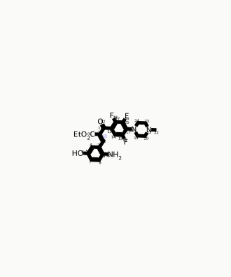 CCOC(=O)/C(=C\c1cc(O)ccc1N)C(=O)c1cc(F)c(N2CCN(C)CC2)c(F)c1F